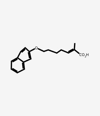 CC(=CCCCCOc1ccc2ccccc2c1)C(=O)O